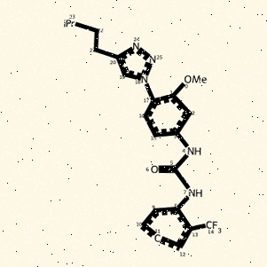 COc1cc(NC(=O)Nc2ccccc2C(F)(F)F)ccc1-n1cc(CCC(C)C)nn1